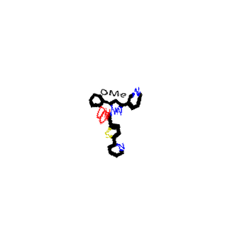 COC1=C(C2CC(c3cccnc3)=NN2C(=O)c2ccc(-c3ccccn3)s2)C(O)=CCC1